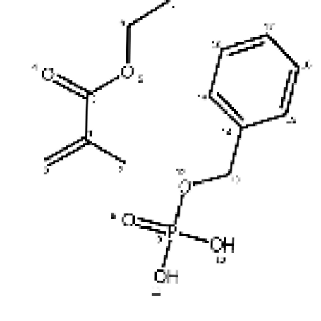 C=C(C)C(=O)OCC.O=P(O)(O)OCc1ccccc1